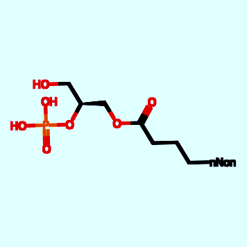 CCCCCCCCCCCCC(=O)OC[C@H](CO)OP(=O)(O)O